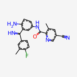 Cc1cc(C(=N)c2cc(NC(=O)c3ncc(C#N)cc3C)ccc2N)ccc1F